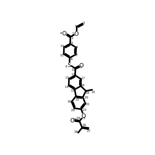 C=COC(=O)c1ccc(SC(=O)c2ccc3c(c2)C(C)c2cc(OC(=O)C(=C)C)ccc2-3)cc1